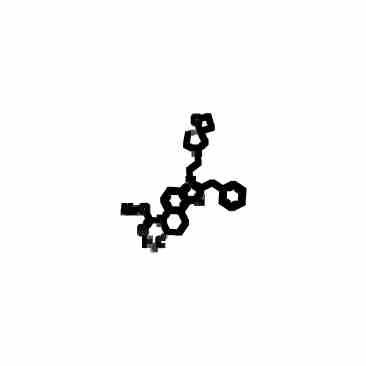 COC(=O)N1c2ccc3c(nc(Cc4ccccc4)n3CCN3CC[C@]4(CCO4)C3)c2CC[C@@H]1C